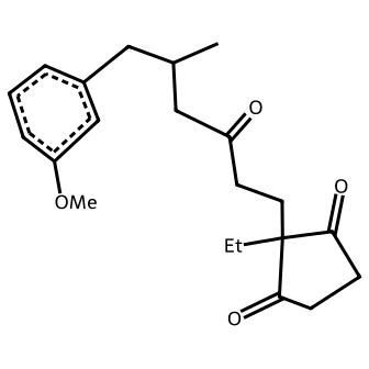 CCC1(CCC(=O)CC(C)Cc2cccc(OC)c2)C(=O)CCC1=O